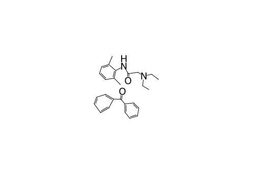 CCN(CC)CC(=O)Nc1c(C)cccc1C.O=C(c1ccccc1)c1ccccc1